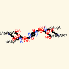 CCCCCC/C=C/CCCC(=O)O[C@H](CCCCCCC)CC(=O)NC(COCC[C@H](O)CCCCCCC)COP(=O)(O)OCCNC(=O)c1ccc(C(=O)NCCOP(=O)(O)OCC(COCC[C@H](O)CCCCCCC)NC(=O)C[C@@H](CCCCCCC)OC(=O)CCC/C=C/CCCCCC)cc1